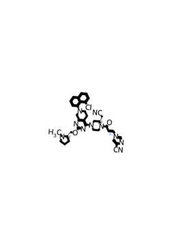 CN1CCC[C@H]1COc1nc2c(c(N3CCN(C(=O)/C=C/n4cnc(C#N)c4)[C@@H](CC#N)C3)n1)CCN(c1cccc3cccc(Cl)c13)C2